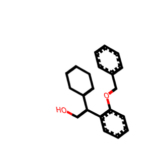 OCC(c1ccccc1OCc1ccccc1)C1CCCCC1